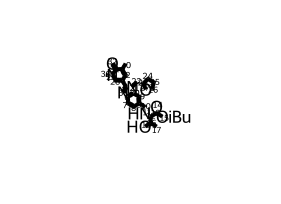 Cc1cc(-c2nc3ccc(CNC(C(=O)OCC(C)C)C(C)O)cc3n2C[C@@H]2CCCO2)cn(C)c1=O